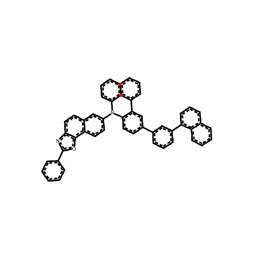 c1ccc(-c2nc3ccc4cc(N(c5ccccc5)c5ccc(-c6cccc(-c7cccc8ccccc78)c6)cc5-c5ccccc5)ccc4c3o2)cc1